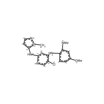 CNc1cc(OC)ccc1Nc1nc(Nc2ccnn2C)ncc1Cl